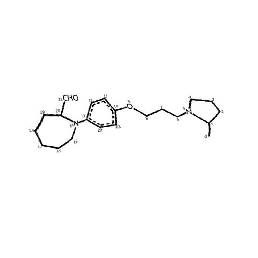 CC1CCCN1CCCOc1ccc(N2CCCCCC2C=O)cc1